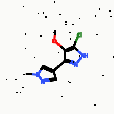 COc1c(-c2cnn(C)c2)n[nH]c1Cl